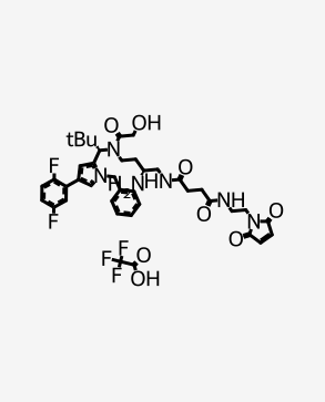 CC(C)(C)[C@H](c1cc(-c2cc(F)ccc2F)cn1Cc1ccccc1)N(CC[C@H](N)CNC(=O)CCC(=O)NCCN1C(=O)C=CC1=O)C(=O)CO.O=C(O)C(F)(F)F